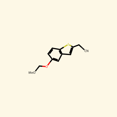 COCOc1ccc2sc(CC#N)cc2c1